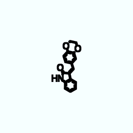 O=C1Nc2ccccc2/C1=C/c1ccc2c(c1)OCCO2